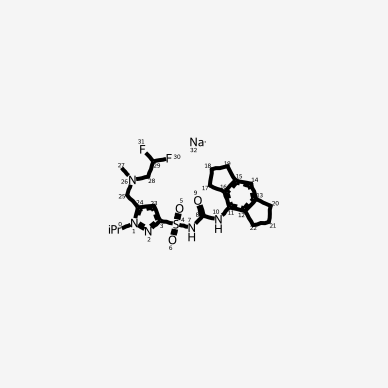 CC(C)n1nc(S(=O)(=O)NC(=O)Nc2c3c(cc4c2CCC4)CCC3)cc1CN(C)CC(F)F.[Na]